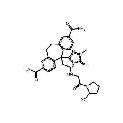 Cn1nc(C2(CCNCC(=O)N3CCCC3C#N)c3ccc(C(N)=O)cc3CCc3cc(C(N)=O)ccc32)[nH]c1=O